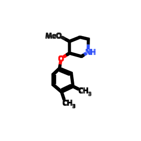 COC1CCNCC1Oc1ccc(C)c(C)c1